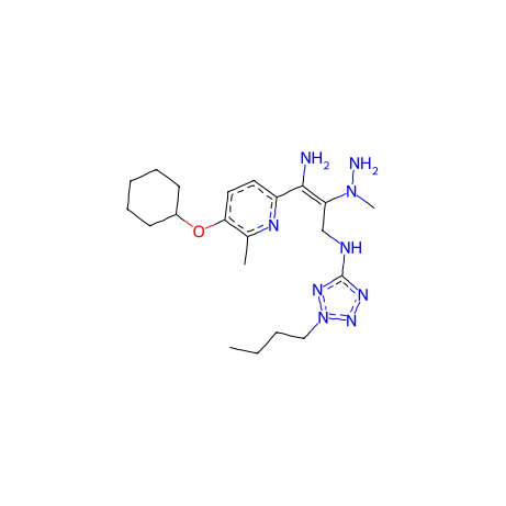 CCCCn1nnc(NC/C(=C(/N)c2ccc(OC3CCCCC3)c(C)n2)N(C)N)n1